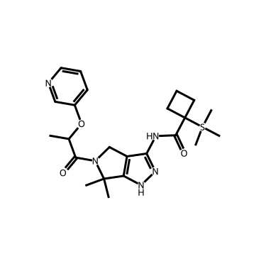 CC(Oc1cccnc1)C(=O)N1Cc2c(NC(=O)C3(S(C)(C)C)CCC3)n[nH]c2C1(C)C